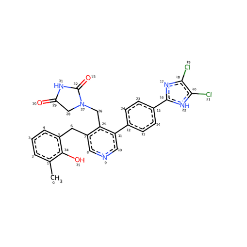 Cc1cccc(Cc2cncc(-c3ccc(-c4nc(Cl)c(Cl)[nH]4)cc3)c2CN2CC(=O)NC2=O)c1O